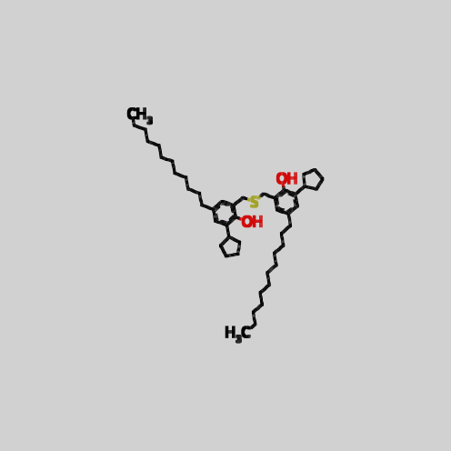 CCCCCCCCCCCCc1cc(CSCc2cc(CCCCCCCCCCCC)cc(C3CCCC3)c2O)c(O)c(C2CCCC2)c1